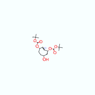 CC(C)(C)OC(=O)OC1/C=C/C(OC(=O)OC(C)(C)C)CC(O)CC1